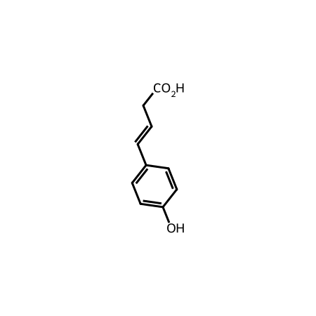 O=C(O)C/C=C/c1ccc(O)cc1